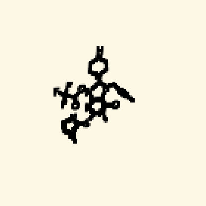 CC#CCN1c2c(nc(Sc3nccn3C)n(C)c2=O)N(OC(=O)C(F)(F)F)C1N1CCNCC1